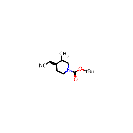 CC1CN(C(=O)OC(C)(C)C)CCC1=CC#N